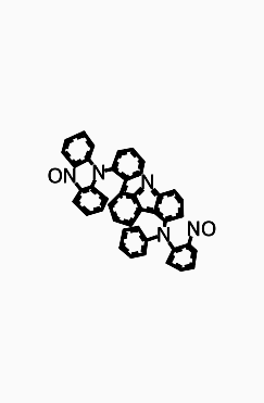 O=Nc1ccccc1N(c1ccccc1)c1cccc2c1c1cccc3c4c(N(c5ccccc5)c5ccccc5N=O)cccc4n2c13